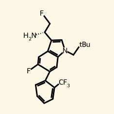 CC(C)(C)Cn1cc([C@H](N)CF)c2cc(F)c(-c3ccccc3C(F)(F)F)cc21